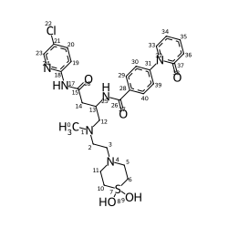 CN(CCN1CCS(O)(O)CC1)CC(CC(=O)Nc1ccc(Cl)cn1)NC(=O)c1ccc(-n2ccccc2=O)cc1